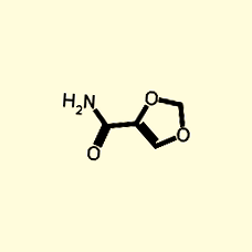 NC(=O)C1=COCO1